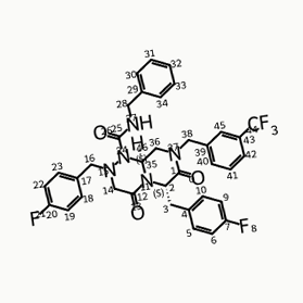 O=C1[C@H](Cc2ccc(F)cc2)N2C(=O)CN(Cc3ccc(F)cc3)N(C(=O)NCc3ccccc3)[C@H]2CN1Cc1cccc(C(F)(F)F)c1